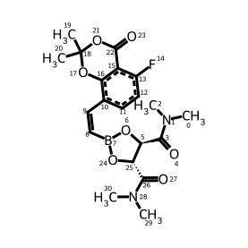 CN(C)C(=O)[C@@H]1OB(/C=C\c2ccc(F)c3c2OC(C)(C)OC3=O)O[C@H]1C(=O)N(C)C